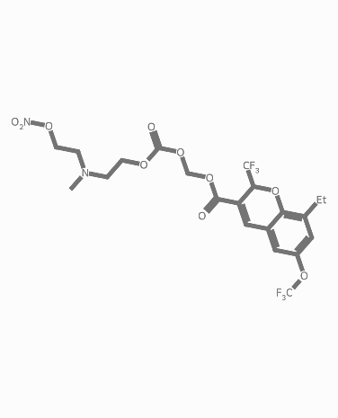 CCc1cc(OC(F)(F)F)cc2c1OC(C(F)(F)F)C(C(=O)OCOC(=O)OCCN(C)CCO[N+](=O)[O-])=C2